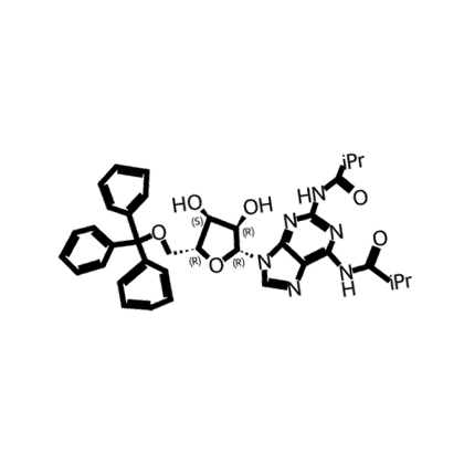 CC(C)C(=O)Nc1nc(NC(=O)C(C)C)c2ncn([C@@H]3O[C@H](COC(c4ccccc4)(c4ccccc4)c4ccccc4)[C@@H](O)[C@H]3O)c2n1